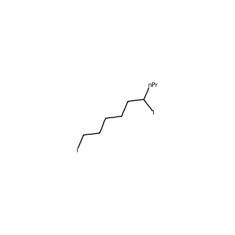 CCCC(I)CCCCCI